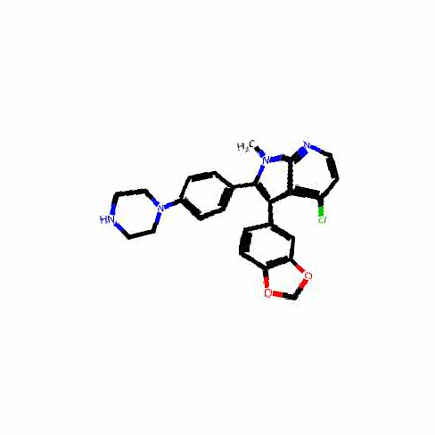 Cn1c(-c2ccc(N3CCNCC3)cc2)c(-c2ccc3c(c2)OCO3)c2c(Cl)ccnc21